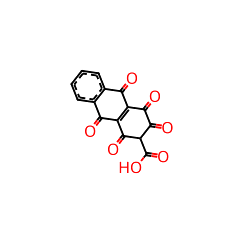 O=C1C(=O)C(C(=O)O)C(=O)C2=C1C(=O)c1ccccc1C2=O